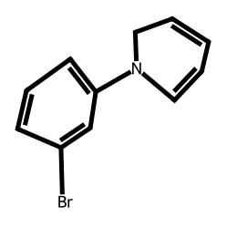 Brc1cccc(N2C=CC=CC2)c1